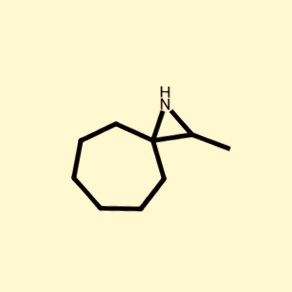 CC1NC12CCCCCC2